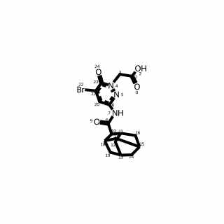 O=C(O)Cn1nc(NC(=O)C2C3CC4CC(C3)CC2C4)cc(Br)c1=O